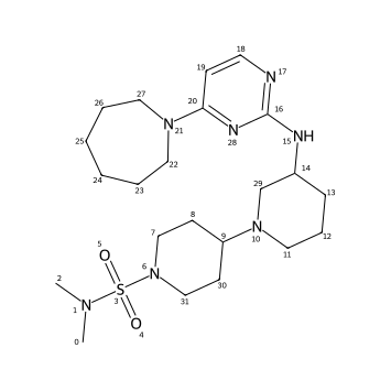 CN(C)S(=O)(=O)N1CCC(N2CCCC(Nc3nccc(N4CCCCCC4)n3)C2)CC1